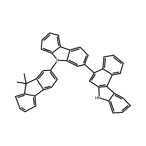 CC1(C)c2ccccc2-c2ccc(-n3c4ccccc4c4ccc(-c5cc6[nH]c7ccccc7c6c6ccccc56)cc43)cc21